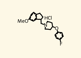 COc1ccc2c(c1)C(CN1CCC(Oc3ccc(F)cc3)CC1)CC2.Cl